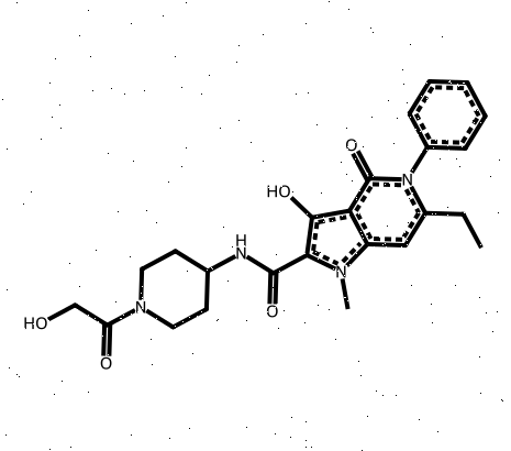 CCc1cc2c(c(O)c(C(=O)NC3CCN(C(=O)CO)CC3)n2C)c(=O)n1-c1ccccc1